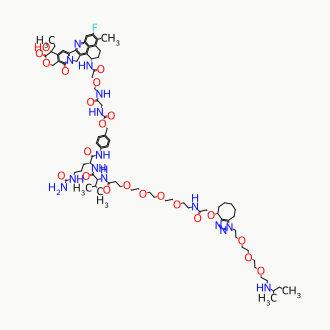 CCC(C)NCCOCCOCCOCCn1nnc2c1CCCCCC2OCC(=O)NCCOCCOCCOCCOCCC(=O)N[C@H](C(=O)N[C@@H](CCCNC(N)=O)C(=O)Nc1ccc(COC(=O)NCC(=O)NCOCC(=O)N[C@H]2CCc3c(C)c(F)cc4nc5c(c2c34)Cn2c-5cc3c(c2=O)COC(=O)[C@]3(O)CC)cc1)C(C)C